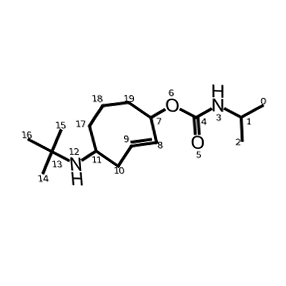 CC(C)NC(=O)OC1/C=C/CC(NC(C)(C)C)CCC1